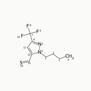 CCCCn1nc(C(F)(F)F)cc1C=S